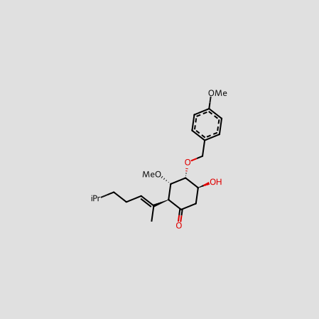 COc1ccc(CO[C@H]2[C@@H](OC)[C@H](C(C)=CCCC(C)C)C(=O)C[C@@H]2O)cc1